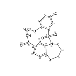 COc1ccc(Cl)cc1S(=O)(=O)N1CCCCc2ccc(C(=O)O)cc21